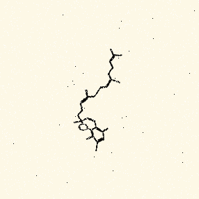 CC(C)=CCCC(C)=CCCC(C)=CCCC1(C)C=Cc2c(C)cc(C)c(C)c2O1